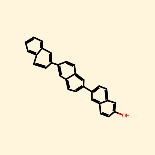 Oc1ccc2cc(-c3ccc4cc(-c5ccc6ccccc6c5)ccc4c3)ccc2c1